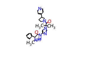 CN[C@H](C(=O)Nc1cn(C(C)(C)C(=O)N2CCC(c3ccncc3)C2)cn1)c1ccccc1